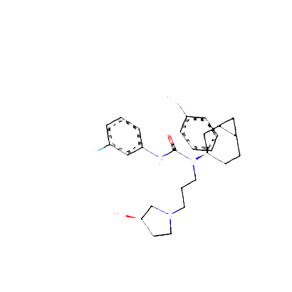 N#Cc1cccc([C@]23CC[C@@H](N(CCCN4CC[C@@H](O)C4)C(=O)Nc4cccc(F)c4)CC2C3)c1